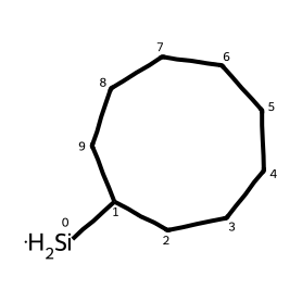 [SiH2]C1CCCCCCCC1